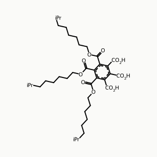 CC(C)CCCCCCOC(=O)c1c(C(=O)O)c(C(=O)O)c(C(=O)O)c(C(=O)OCCCCCCC(C)C)c1C(=O)OCCCCCCC(C)C